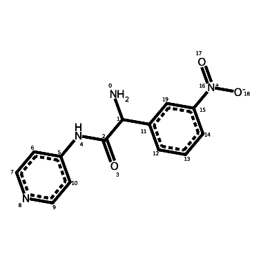 NC(C(=O)Nc1ccncc1)c1cccc([N+](=O)[O-])c1